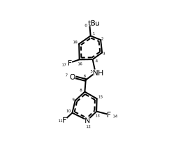 CC(C)(C)c1ccc(NC(=O)c2cc(F)nc(F)c2)c(F)c1